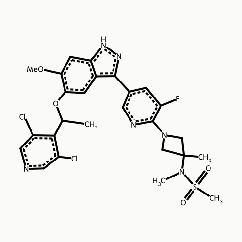 COc1cc2[nH]nc(-c3cnc(N4CC(C)(N(C)S(C)(=O)=O)C4)c(F)c3)c2cc1OC(C)c1c(Cl)cncc1Cl